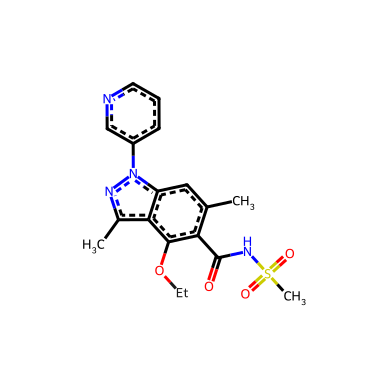 CCOc1c(C(=O)NS(C)(=O)=O)c(C)cc2c1c(C)nn2-c1cccnc1